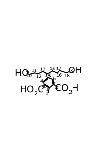 Cc1c(C(=O)O)cccc1C(=O)O.OCCCCCCCCCO